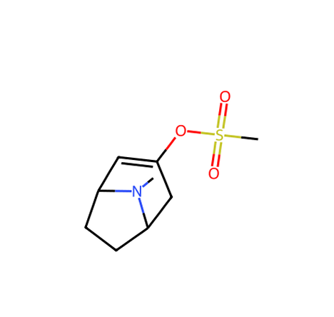 CN1C2C=C(OS(C)(=O)=O)CC1CC2